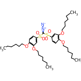 CCCCCCOc1ccc(S(=O)(=O)C(=[N+]=[N-])S(=O)(=O)c2ccc(OCCCCCC)c(OCCCCCC)c2)cc1OCCCCCC